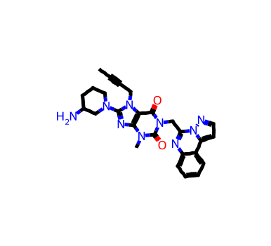 CC#CCn1c(N2CCCC(N)C2)nc2c1c(=O)n(Cc1nc3ccccc3c3ccnn13)c(=O)n2C